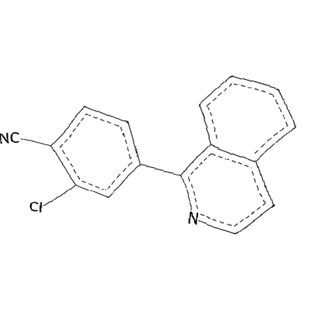 N#Cc1ccc(-c2nccc3ccccc23)cc1Cl